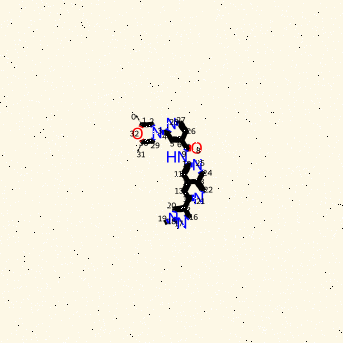 C[C@@H]1CN(c2cc(C(=O)Nc3cc4cc(-c5cnn(C)c5)ncc4cn3)ccn2)C[C@H](C)O1